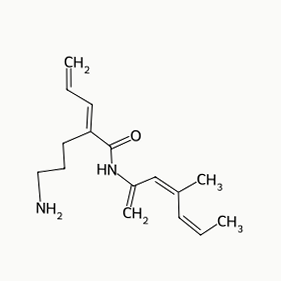 C=C/C=C(\CCCN)C(=O)NC(=C)/C=C(C)\C=C/C